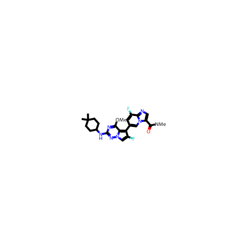 CNC(=O)c1cnc2c(F)cc(-c3c(F)cn4nc(NC5CCC(C)(C)CC5)nc(OC)c34)cn12